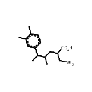 Cc1ccc(C(C)C(C)CC(CN)C(=O)O)cc1C